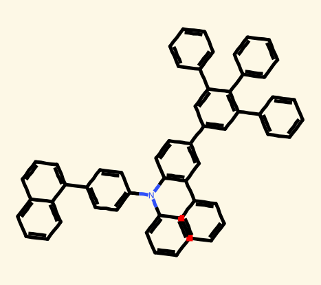 c1ccc(-c2cc(-c3cc(-c4ccccc4)c(-c4ccccc4)c(-c4ccccc4)c3)ccc2N(c2ccccc2)c2ccc(-c3cccc4ccccc34)cc2)cc1